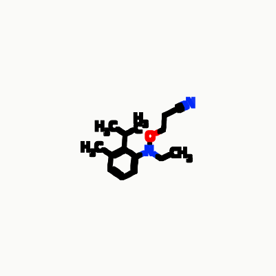 CCN(OCCC#N)c1cccc(C)c1C(C)C